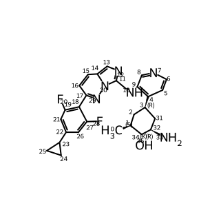 C[C@H]1C[C@@H](c2ccncc2Nc2ncc3ccc(-c4c(F)cc(C5CC5)cc4F)nn23)C[C@@H](N)[C@@H]1O